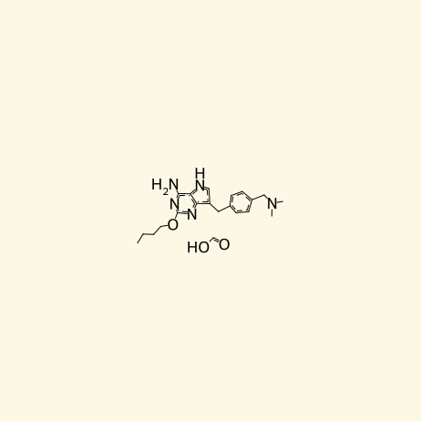 CCCCOc1nc(N)c2[nH]cc(Cc3ccc(CN(C)C)cc3)c2n1.O=CO